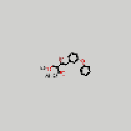 CCOC=C(C(=O)OC)C(Br)=Cc1cccc(Oc2ccccc2)c1